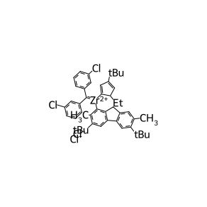 CCC1C=C(C(C)(C)C)C=[C]1[Zr+2](=[C](c1cccc(Cl)c1)c1cccc(Cl)c1)[c]1c(C)c(C(C)(C)C)cc2c1Cc1cc(C)c(C(C)(C)C)cc1-2.[Cl-].[Cl-]